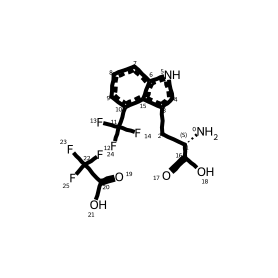 N[C@@H](Cc1c[nH]c2cccc(C(F)(F)F)c12)C(=O)O.O=C(O)C(F)(F)F